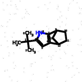 CC(C)(C)c1cc2c([nH]1)C1CCC2C1